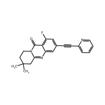 CC1(C)CCn2c(nc3cc(C#Cc4ccccn4)cc(F)c3c2=O)C1